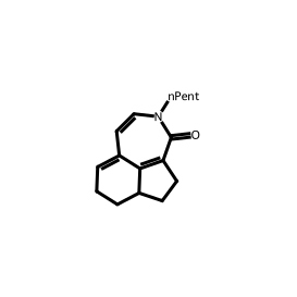 CCCCCN1C=CC2=CCCC3CCC(=C23)C1=O